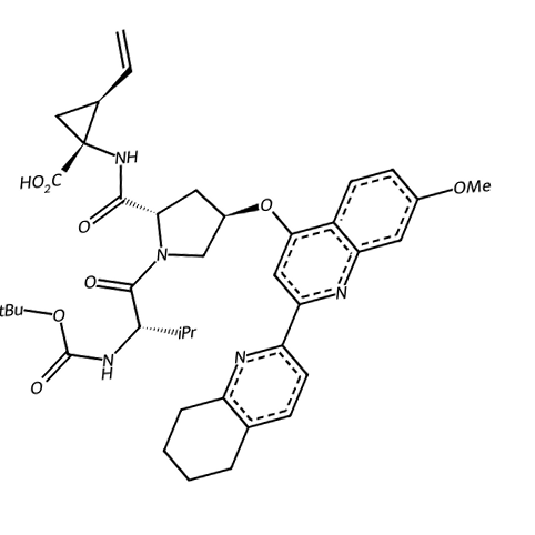 C=C[C@@H]1C[C@]1(NC(=O)[C@@H]1C[C@@H](Oc2cc(-c3ccc4c(n3)CCCC4)nc3cc(OC)ccc23)CN1C(=O)[C@@H](NC(=O)OC(C)(C)C)C(C)C)C(=O)O